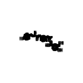 CCc1ccc(CCNC(=O)Cc2cccc(C[C@@H](C)NC[C@@H](O)c3ccc(O)c(CO)c3)c2)cc1